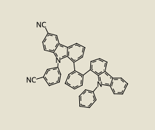 N#Cc1cccc(-n2c3ccc(C#N)cc3c3cccc(-c4ccccc4-c4cccc5c6ccccc6n(-c6ccccc6)c45)c32)c1